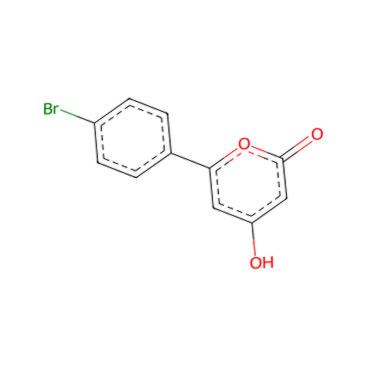 O=c1cc(O)cc(-c2ccc(Br)cc2)o1